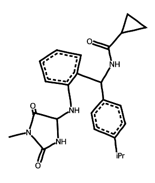 CC(C)c1ccc(C(NC(=O)C2CC2)c2ccccc2NC2NC(=O)N(C)C2=O)cc1